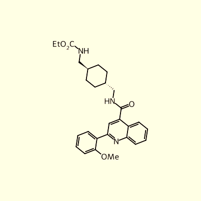 CCOC(=O)NC[C@H]1CC[C@H](CNC(=O)c2cc(-c3ccccc3OC)nc3ccccc23)CC1